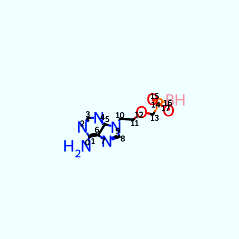 Nc1ncnc2c1ncn2CCOCP1(=O)BO1